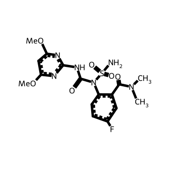 COc1cc(OC)nc(NC(=O)N(c2ccc(F)cc2C(=O)N(C)C)S(N)(=O)=O)n1